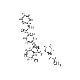 C=CCN1CCC[C@H]1Cn1nc(-c2ccc(C(=O)Nc3ccccn3)cc2)c2cncc(Cl)c21